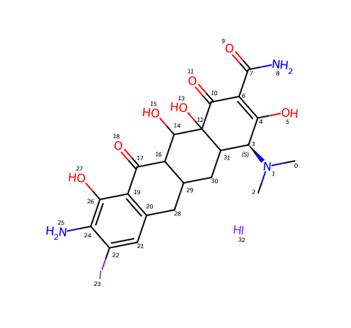 CN(C)[C@@H]1C(O)=C(C(N)=O)C(=O)C2(O)C(O)C3C(=O)c4c(cc(I)c(N)c4O)CC3CC12.I